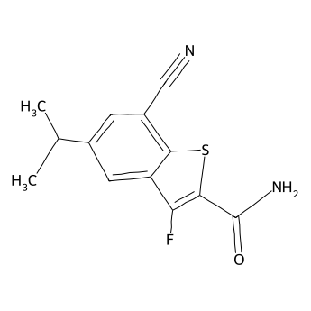 CC(C)c1cc(C#N)c2sc(C(N)=O)c(F)c2c1